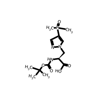 CC(C)(C)OC(=O)N[C@@H](Cn1cc(P(C)(C)=O)cn1)C(=O)O